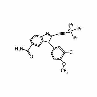 CC(C)[Si](C#CC1=Nc2ccc(C(N)=O)cc2C1c1ccc(OC(F)(F)F)c(Cl)c1)(C(C)C)C(C)C